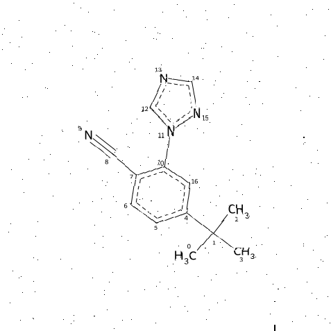 CC(C)(C)c1ccc(C#N)c(-n2cncn2)c1